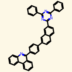 c1ccc(-c2nc(-c3ccccc3)nc(-c3ccc4ccc(-c5ccc(-c6nc7ccccc7c7ccccc67)cc5)cc4c3)n2)cc1